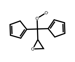 [O]OC(C1=CC=CC1)(C1=CC=CC1)C1CO1